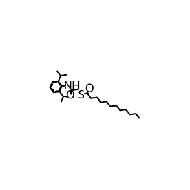 CCCCCCCCCCCC(=O)SCC(=O)Nc1c(C(C)C)cccc1C(C)C